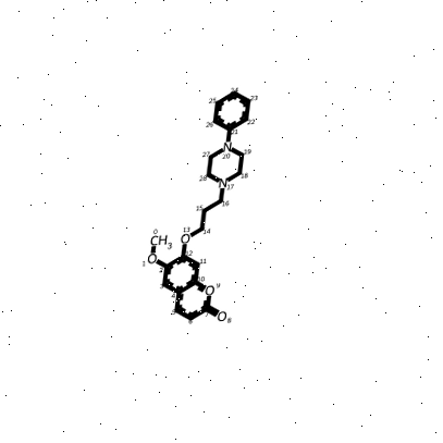 COc1cc2ccc(=O)oc2cc1OCCCN1CCN(c2ccccc2)CC1